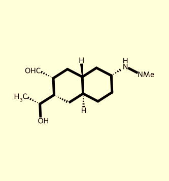 CNN[C@@H]1CC[C@H]2C[C@H]([C@@H](C)O)[C@H](C=O)C[C@@H]2C1